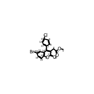 COC(=O)Cc1c(-c2ccc(Cl)cc2)c2cc(Br)ccc2oc1=O